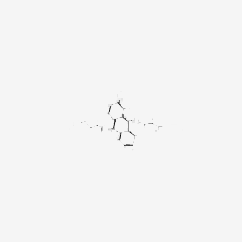 CCCCOc1c2ccccc2c(OCCCC)c2cc(Cl)ccc12